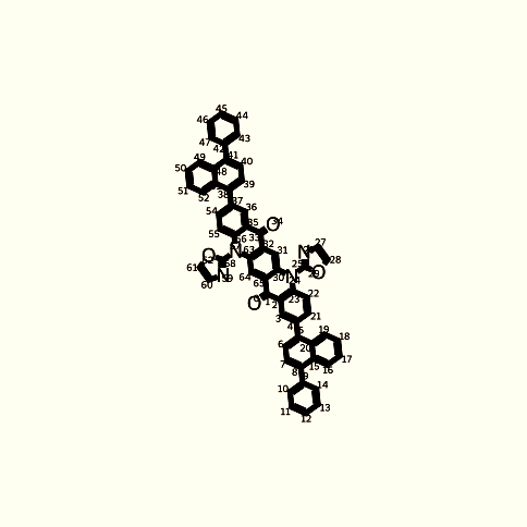 O=c1c2cc(-c3ccc(-c4ccccc4)c4ccccc34)ccc2n(-c2ncco2)c2cc3c(=O)c4cc(-c5ccc(-c6ccccc6)c6ccccc56)ccc4n(-c4ncco4)c3cc12